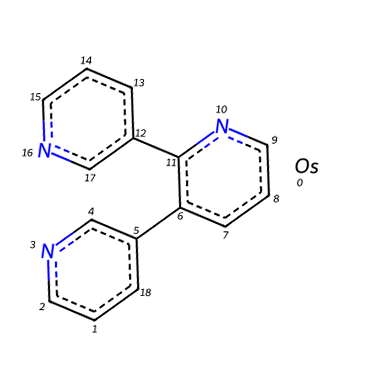 [Os].c1cncc(-c2cccnc2-c2cccnc2)c1